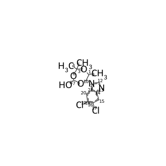 CC1OC(C)(C)OC(O)O[C@H]1n1cnc2cc(Cl)c(Cl)cc21